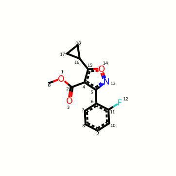 COC(=O)c1c(-c2ccccc2F)noc1C1CC1